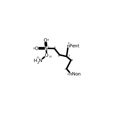 CCCCCCCCCCCC(CCCCC)CCS(=O)(=O)ON